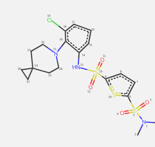 CN(C)S(=O)(=O)c1ccc(S(=O)(=O)Nc2cccc(Cl)c2N2CCC3(CC2)CC3)s1